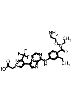 CCc1cc(Nc2nccn3c(-c4cn(CC(=O)O)nc4C(F)(F)F)cnc23)ccc1C(=O)N(CC)OCCN